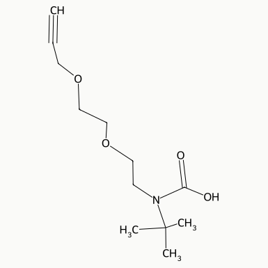 C#CCOCCOCCN(C(=O)O)C(C)(C)C